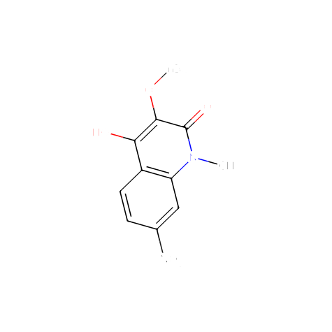 CCCCOc1c(O)c2ccc([N+](=O)[O-])cc2n(C)c1=O